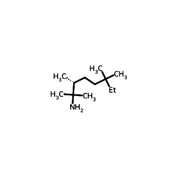 CCC(C)(C)CC[C@@H](C)C(C)(C)N